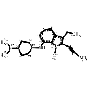 CC#Cc1c(CC)c2cccc(NC3CCC(N(C)C)CC3)c2[s+]1[O-]